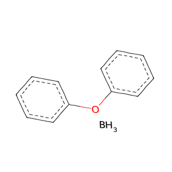 B.c1ccc(Oc2ccccc2)cc1